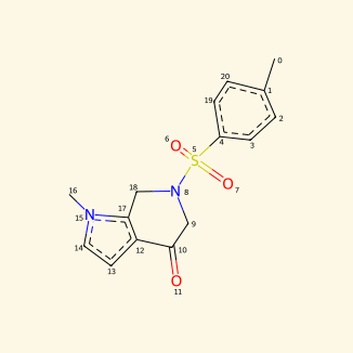 Cc1ccc(S(=O)(=O)N2CC(=O)c3ccn(C)c3C2)cc1